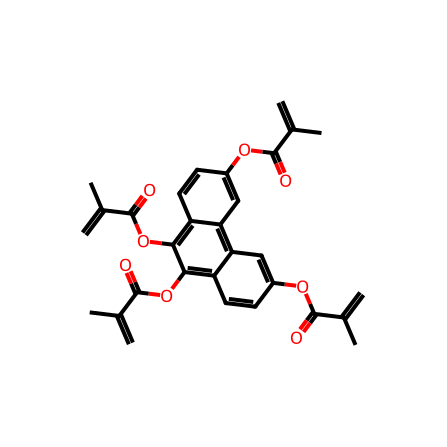 C=C(C)C(=O)Oc1ccc2c(OC(=O)C(=C)C)c(OC(=O)C(=C)C)c3ccc(OC(=O)C(=C)C)cc3c2c1